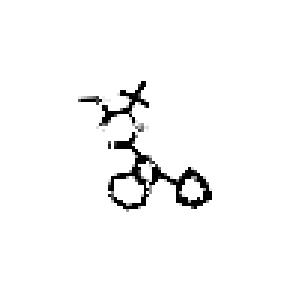 CNC(=O)[C@H](NC(=O)c1nc(-c2ccccc2)n2c1CNCC2)C(C)(C)C